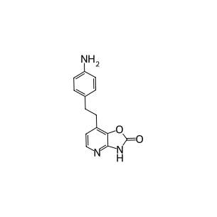 Nc1ccc(CCc2ccnc3[nH]c(=O)oc23)cc1